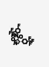 CN1C[C@@H](c2ccc(C(F)(F)F)cc2)[C@H](C(=O)Nc2ccc(F)cc2C(F)(F)F)C1=O